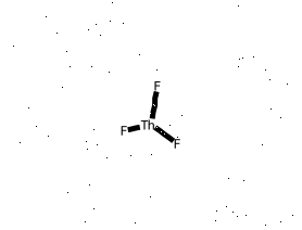 [F][Th]([F])[F]